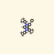 Cc1cc2c3c(c1)N(c1cc4c(cc1C)C(C)(C)CC4(C)C)c1cc4c(cc1B3c1ccc(-c3ccccc3)cc1N2c1cc2c(cc1C)C(C)(C)CCC2(C)C)C(C)(C)CCC4(C)C